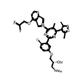 CNC[C@@H](O)COc1ccc(Cl)c(-c2nc(-c3c(C)noc3C)c(C)c(N3Cc4nccc(OCC(F)F)c4C3)n2)c1